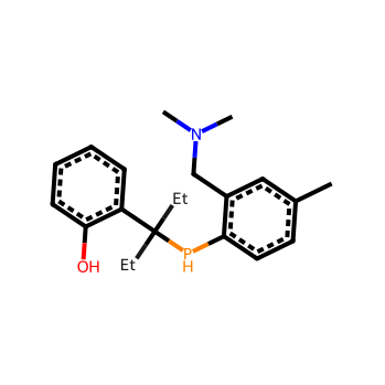 CCC(CC)(Pc1ccc(C)cc1CN(C)C)c1ccccc1O